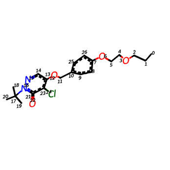 CCCOCCOc1ccc(COc2cnn(C(C)(C)C)c(=O)c2Cl)cc1